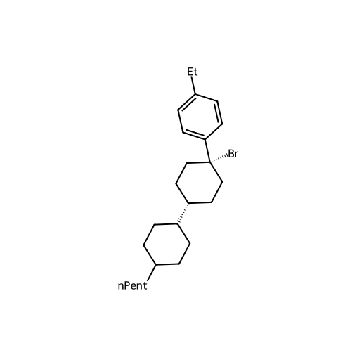 CCCCCC1CCC([C@H]2CC[C@](Br)(c3ccc(CC)cc3)CC2)CC1